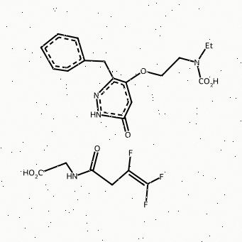 CCN(CCOc1cc(=O)[nH]nc1Cc1ccccc1)C(=O)O.O=C(O)CNC(=O)CC(F)=C(F)F